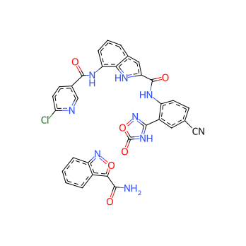 N#Cc1ccc(NC(=O)c2cc3cccc(NC(=O)c4ccc(Cl)nc4)c3[nH]2)c(-c2noc(=O)[nH]2)c1.NC(=O)c1onc2ccccc12